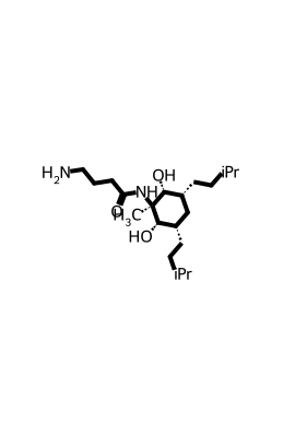 CC(C)CC[C@@H]1C[C@H](CCC(C)C)[C@H](O)[C@@](C)(NC(=O)CCCN)[C@@H]1O